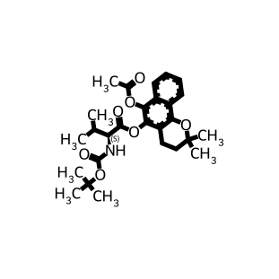 CC(=O)Oc1c(OC(=O)[C@@H](NC(=O)OC(C)(C)C)C(C)C)c2c(c3ccccc13)OC(C)(C)CC2